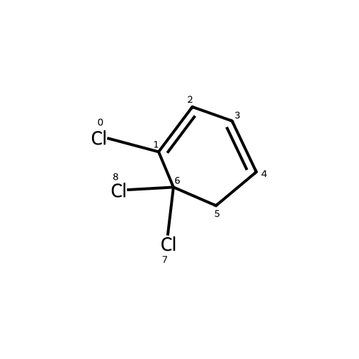 ClC1=CC=CCC1(Cl)Cl